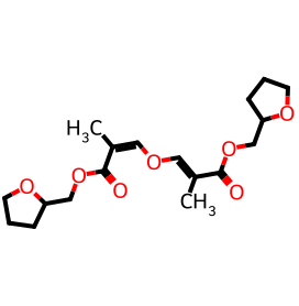 CC(=COC=C(C)C(=O)OCC1CCCO1)C(=O)OCC1CCCO1